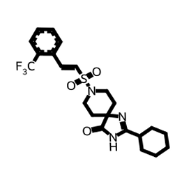 O=C1NC(C2CCCCC2)=NC12CCN(S(=O)(=O)/C=C/c1ccccc1C(F)(F)F)CC2